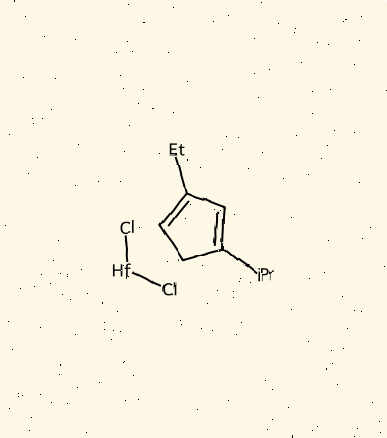 CCC1=C[CH]C(C(C)C)=C1.[Cl][Hf][Cl]